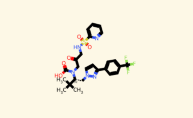 CC(C)(C)[C@@H](Cn1ccc(-c2ccc(C(F)(F)F)cc2)n1)N(CC(=O)CNS(=O)(=O)c1ccccn1)C(=O)O